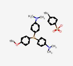 CC(C)(C)c1ccc(S(=O)(=O)[O-])cc1.CN(C)c1ccc([S+](c2ccc(OC(C)(C)C)cc2)c2ccc(N(C)C)cc2)cc1